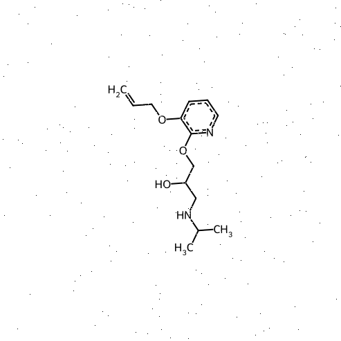 C=CCOc1cccnc1OCC(O)CNC(C)C